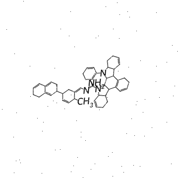 CC1C=CC(C2C=C3CCC=CC3=CC2)C/C1=C/N=C(\N)N1C2C=CCCC2C2C3=C(CCC=C3)C3C4C=CCCC4N(C4=CCCC=C4)C3C21